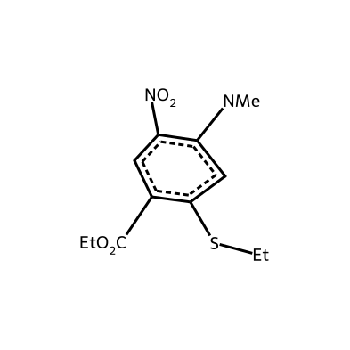 CCOC(=O)c1cc([N+](=O)[O-])c(NC)cc1SCC